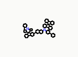 c1ccc(-c2ccc(N(c3ccc4cc(-c5ccc6c(c5)C5(c7ccccc7-6)c6ccccc6-n6c7ccccc7c7cccc5c76)ccc4c3)c3cccc4c3-c3ccccc3C43c4ccccc4-c4ccccc43)cc2)cc1